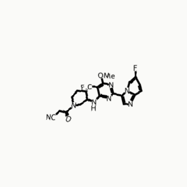 COc1nc(-c2cnc3ccc(F)cn23)nc(NC2CCCN(C(=O)CC#N)C2)c1C(F)(F)F